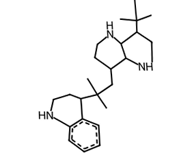 CC(C)(C)C1CCNC2C(CC(C)(C)C3CCNc4ccccc43)CCNC21